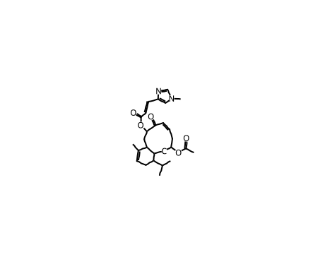 CC(=O)OC1CC=CC(=O)C(OC(=O)C=Cc2cn(C)cn2)CC2C(C)=CCC(C(C)C)C2C1